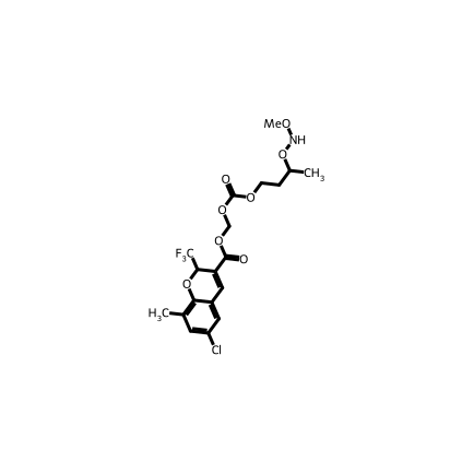 CONOC(C)CCOC(=O)OCOC(=O)C1=Cc2cc(Cl)cc(C)c2OC1C(F)(F)F